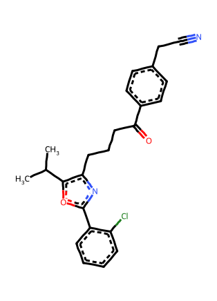 CC(C)c1oc(-c2ccccc2Cl)nc1CCCC(=O)c1ccc(CC#N)cc1